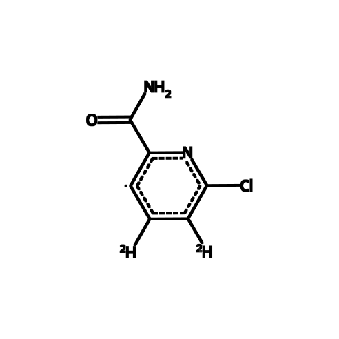 [2H]c1[c]c(C(N)=O)nc(Cl)c1[2H]